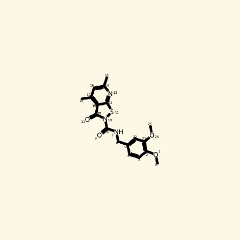 COc1ccc(CNC(=O)n2sc3nc(C)cc(C)c3c2=O)cc1OC